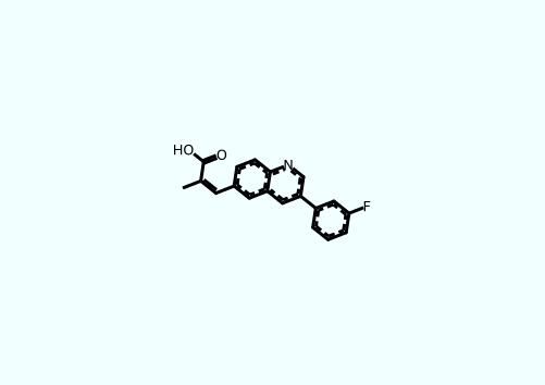 CC(=Cc1ccc2ncc(-c3cccc(F)c3)cc2c1)C(=O)O